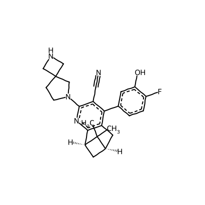 CC1(C)[C@H]2Cc3c(nc(N4CCC5(CNC5)C4)c(C#N)c3-c3ccc(F)c(O)c3)[C@@H]1C2